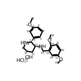 COc1cccc([C@@H]2NCCC[C@@H]2NCc2cc(OC)ccc2OC)c1.Cl.Cl